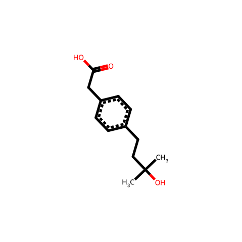 CC(C)(O)CCc1ccc(CC(=O)O)cc1